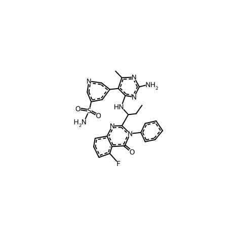 CCC(Nc1nc(N)nc(C)c1-c1cncc(S(N)(=O)=O)c1)c1nc2cccc(F)c2c(=O)n1-c1ccccc1